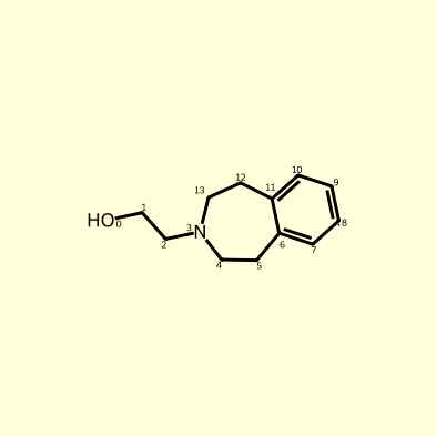 OCCN1CCc2c[c]ccc2CC1